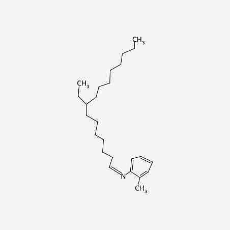 CCCCCCCCC(CC)CCCCCC/C=N\c1ccccc1C